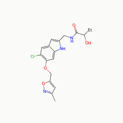 CCC(O)C(=O)NCc1cc2cc(Cl)c(OCc3cc(C)no3)cc2[nH]1